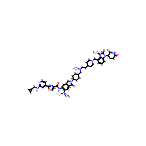 CN(CCC1CCN(Cc2cccc3c2n(C)c(=O)n3C2CCC(=O)NC2=O)CC1)CC1CCC(N2Cc3cc(NC(=O)c4coc(-c5ccnc(NCC6CC6)c5)n4)c(N(C)C)cc3C2=O)CC1